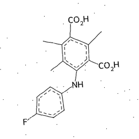 Cc1c(C)c(C(=O)O)c(C)c(C(=O)O)c1Nc1ccc(F)cc1